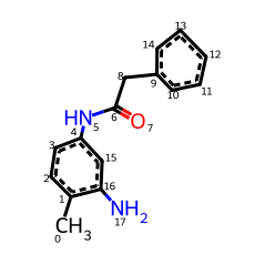 Cc1ccc(NC(=O)Cc2ccccc2)cc1N